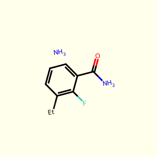 CCc1cccc(C(N)=O)c1F.N